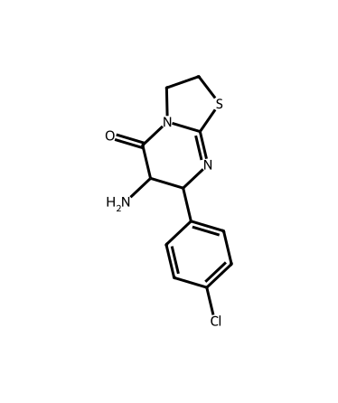 NC1C(=O)N2CCSC2=NC1c1ccc(Cl)cc1